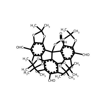 CC1(C)Oc2c(C=O)c3c(c(C(OS(=O)O)(c4c5c(c(C=O)c6c4OC(C)(C)O6)OC(C)(C)O5)c4c5c(c(C=O)c6c4OC(C)(C)O6)OC(C)(C)O5)c2O1)OC(C)(C)O3